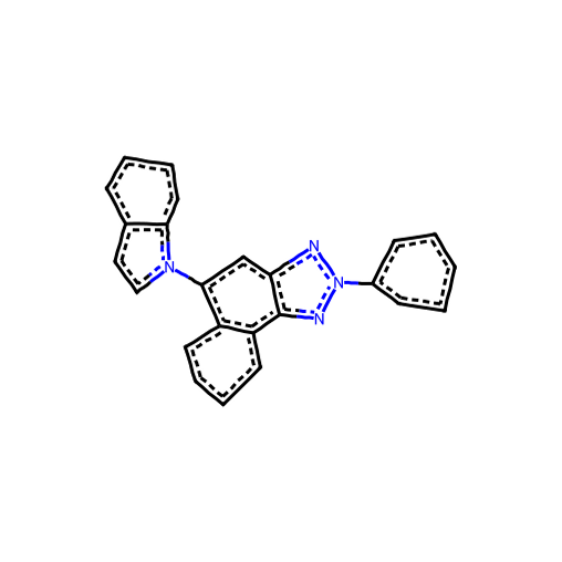 c1ccc(-n2nc3cc(-n4ccc5ccccc54)c4ccccc4c3n2)cc1